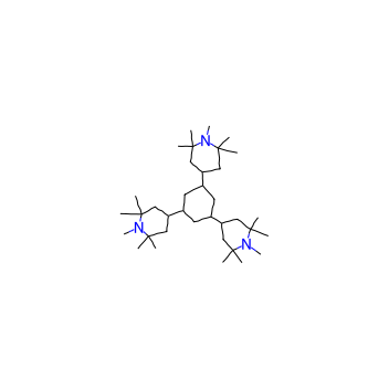 CN1C(C)(C)CC(C2CC(C3CC(C)(C)N(C)C(C)(C)C3)CC(C3CC(C)(C)N(C)C(C)(C)C3)C2)CC1(C)C